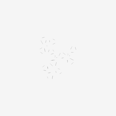 c1ccc(-n2c3ccccc3c3cc(N(c4ccc5c(c4)-c4ccccc4C5(c4ccccc4)c4ccccc4)c4ccc5c(c4)-c4ccccc4C54c5ccccc5-c5ccccc54)ccc32)cc1